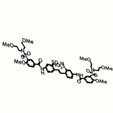 COCCN(CCOC)S(=O)(=O)c1cc(C(=O)Nc2ccc(C=Cc3ccc(NC(=O)c4ccc(OC)c(S(=O)(=O)N(CCOC)CCOC)c4)cc3S(=O)(=O)O)c(S(=O)(=O)O)c2)ccc1OC